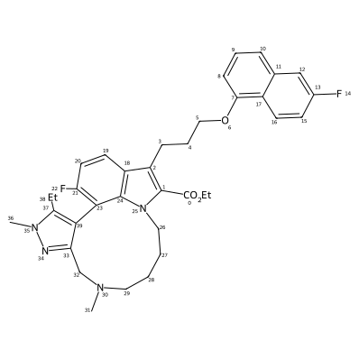 CCOC(=O)c1c(CCCOc2cccc3cc(F)ccc23)c2ccc(F)c3c2n1CCCCN(C)Cc1nn(C)c(CC)c1-3